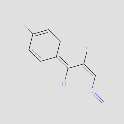 C=N/C=C(C(=O)O)\C(N)=C1\C=CC(F)=CC1